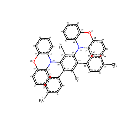 CCc1c(-c2ccc(C(F)(F)F)cc2)c(N2c3ccccc3Oc3ccccc32)c(CC)c(N2c3ccccc3Oc3ccccc32)c1-c1ccc(C(F)(F)F)cc1